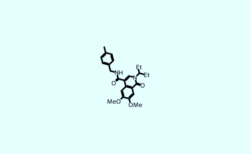 CCC(CC)n1cc(C(=O)NCc2ccc(C)cc2)c2cc(OC)c(OC)cc2c1=O